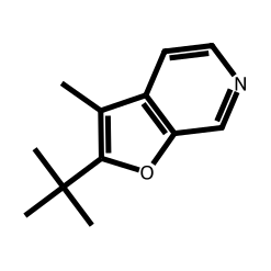 Cc1c(C(C)(C)C)oc2cnccc12